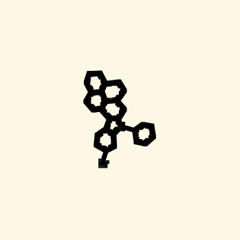 Brc1ccc2c3c4ccc5cccc6ccc(cc3n(-c3ccccc3)c2c1)c4c65